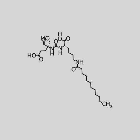 CCCCCCCCCCCC(=O)NCCCC[C@H](NC(=O)N[C@@](C=O)(CO)CCC(=O)O)C(=O)O